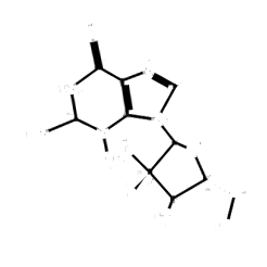 CN1c2c(ncn2C2O[C@H](CO)C(O)[C@]2(C)F)C(=O)NC1N